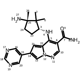 CC1(C)[C@H](Nc2c(C(N)=O)cnn3cc(-c4cncnc4)cc23)CC[C@]1(C)N